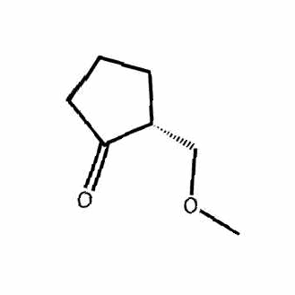 COC[C@H]1CCCC1=O